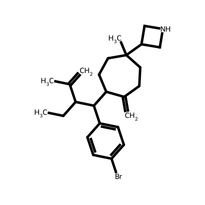 C=C(C)C(CC)C(c1ccc(Br)cc1)C1CCC(C)(C2CNC2)CCC1=C